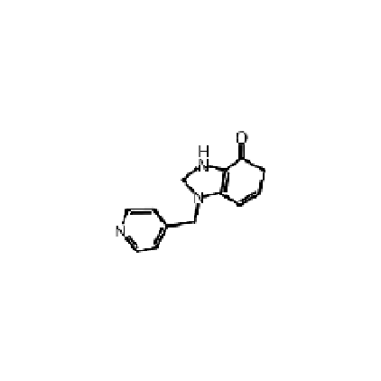 O=C1CC=CC2=C1NCN2Cc1ccncc1